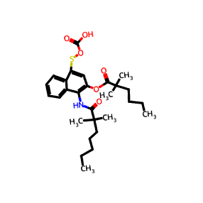 CCCCCC(C)(C)C(=O)Nc1c(OC(=O)C(C)(C)CCCC)cc(SOC(=O)O)c2ccccc12